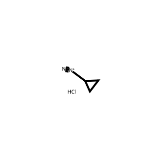 Cl.N#[N+]C1CC1